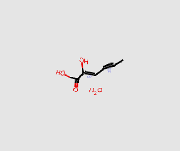 C/C=C/C=C(\O)C(=O)O.O